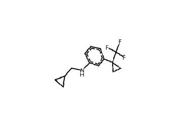 FC(F)(F)C1(c2cccc(NCC3CC3)c2)CC1